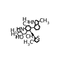 Cc1ccsc1C#Cc1c(-c2cccc3c(C)c[nH]c23)cc(C)c2c1C(C)C(O)C(C)(C)N2